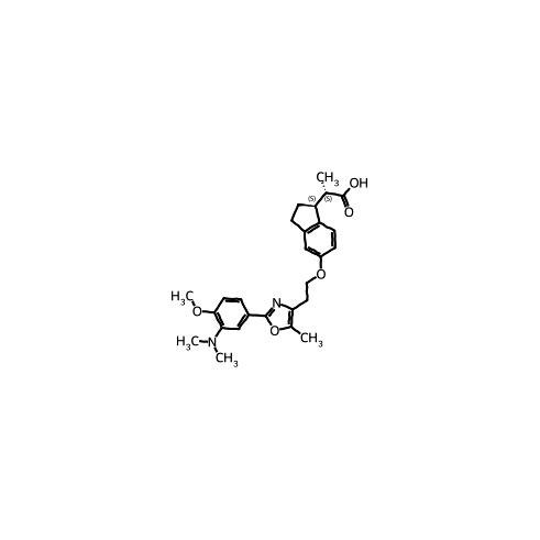 COc1ccc(-c2nc(CCOc3ccc4c(c3)CC[C@H]4[C@H](C)C(=O)O)c(C)o2)cc1N(C)C